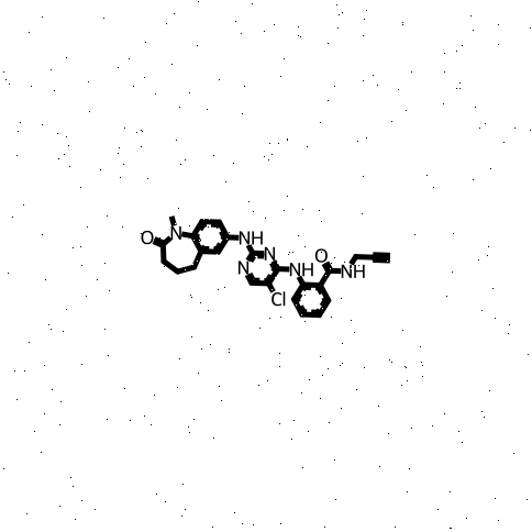 C#CCNC(=O)c1ccccc1Nc1nc(Nc2ccc3c(c2)CCCC(=O)N3C)ncc1Cl